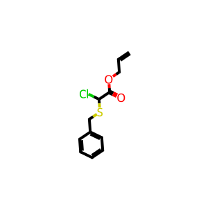 C=CCOC(=O)C(Cl)SCc1ccccc1